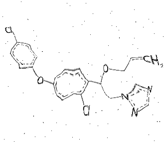 C=CCOC(Cn1cncn1)c1ccc(Oc2ccc(Cl)cc2)cc1Cl